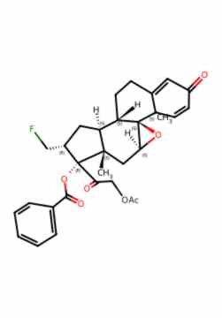 CC(=O)OCC(=O)[C@@]1(OC(=O)c2ccccc2)[C@H](CF)C[C@H]2[C@@H]3CCC4=CC(=O)C=C[C@]4(C)[C@@]34O[C@H]4C[C@@]21C